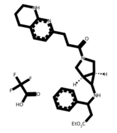 CCOC(=O)CC(NC1[C@H]2CN(C(=O)CCc3ccc4c(n3)NCCC4)C[C@@H]12)c1ccccc1.O=C(O)C(F)(F)F